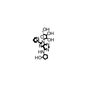 OC[C@H]1O[C@@H](n2c(-n3cccn3)nc3c(N[C@@H]4CCC[C@H]4O)ncnc32)C(O)C1O